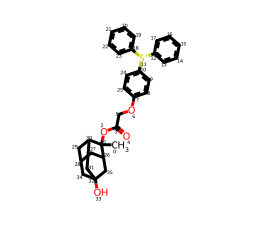 CC1(OC(=O)COc2ccc([S+](c3ccccc3)c3ccccc3)cc2)C2CC3CC1CC(O)(C3)C2